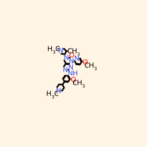 COc1ccc(N2C(=O)N(C3CN(C)CC3C)Cc3cnc(Nc4ccc(C5CCN(C)CC5)cc4OC)nc32)nc1